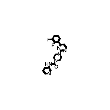 O=C(Nc1cccnc1)N1CCN(c2nccc(-c3cccc(F)c3F)n2)CC1